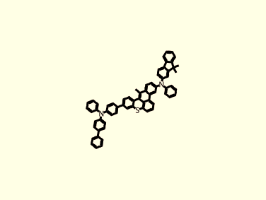 Cc1c2c3c(cccc3c3cc(N(c4ccccc4)c4ccc5c(c4)C(C)(C)c4ccccc4-5)ccc13)Sc1cc(-c3ccc(N(c4ccccc4)c4ccc(-c5ccccc5)cc4)cc3)ccc1-2